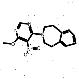 COc1ncnc(N2CCc3ccccc3CC2)c1[N+](=O)[O-]